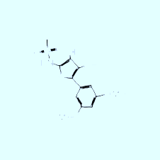 COc1cc(OC)cc(-c2oc(NS(C)(=O)=O)c(O)c2O)c1